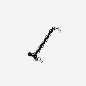 NCCOCCOCCOCCOCCOCCOCCOCCOCCOc1ccc([N+](=O)[O-])cc1OCc1ccccc1